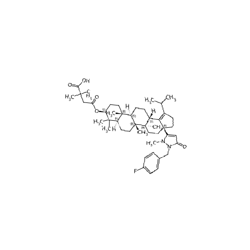 CC(C)C1=C2[C@H]3CC[C@@H]4[C@@]5(C)CC[C@H](OC(=O)CC(C)(C)C(=O)O)C(C)(C)[C@@H]5CC[C@@]4(C)[C@]3(C)CC[C@@]2(c2cc(=O)n(Cc3ccc(F)cc3)n2C)CC1